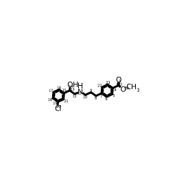 COC(=O)c1ccc(CCCNCC(O)c2cccc(Cl)c2)cc1